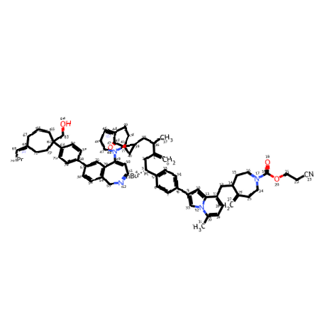 C=C(C[C@@H](CCCC)c1ccc(-c2cc3c(CC4CCN(C(=O)OCCC#N)CCC4=C)ccc(C)n3c2)cc1)C(C)CC1CC1C(=O)/C1=C\CCN(C2=CC=NCc3ccc(-c4ccc(C5(CO)CCC/C(=C/C(C)C)CC5)cc4)cc32)CCC1